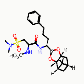 CN(C)S(=O)(=O)CC(NC(=O)O)C(=O)N[C@@H](CCCc1ccccc1)B1O[C@@H]2C[C@@H]3C[C@@H](C3(C)C)[C@]2(C)O1